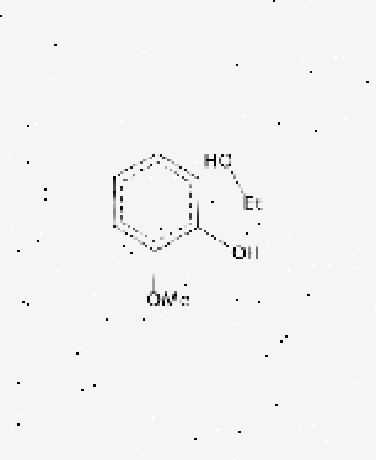 CCO.COc1ccccc1O